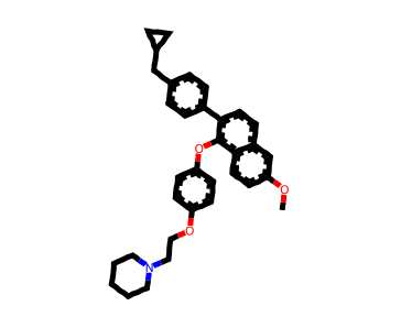 COc1ccc2c(Oc3ccc(OCCN4CCCCC4)cc3)c(-c3ccc(CC4CC4)cc3)ccc2c1